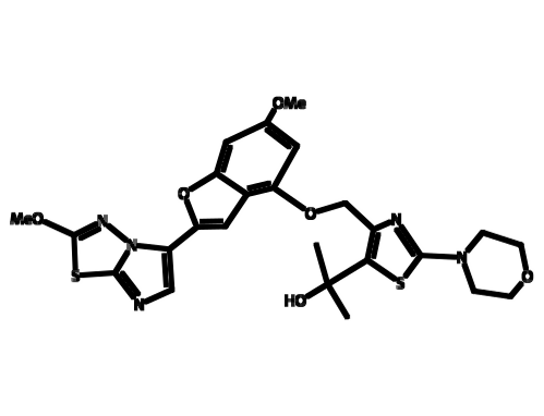 COc1cc(OCc2nc(N3CCOCC3)sc2C(C)(C)O)c2cc(-c3cnc4sc(OC)nn34)oc2c1